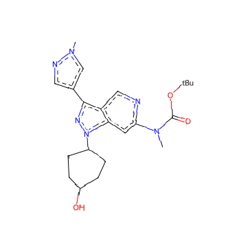 CN(C(=O)OC(C)(C)C)c1cc2c(cn1)c(-c1cnn(C)c1)nn2C1CCC(O)CC1